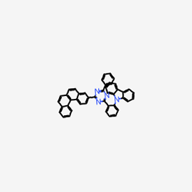 c1ccc(-c2nc(-c3ccc4c(ccc5ccc6ccccc6c54)c3)nc(-c3ccccc3-n3c4ccccc4c4ccccc43)n2)cc1